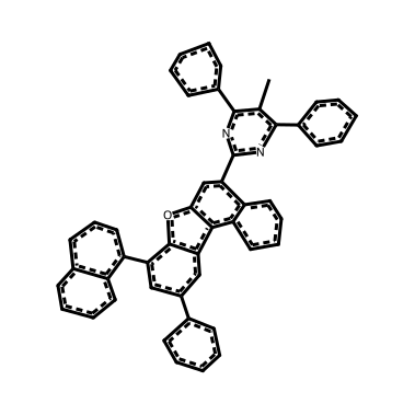 Cc1c(-c2ccccc2)nc(-c2cc3oc4c(-c5cccc6ccccc56)cc(-c5ccccc5)cc4c3c3ccccc23)nc1-c1ccccc1